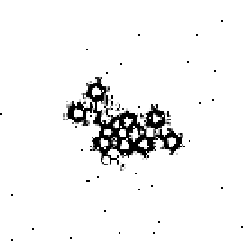 C=CC1=C(CCN(C2=CC=CCC2)c2ccccc2)c2ccc(C)cc2C12c1ccccc1-c1c(N3c4ccccc4N(c4ccccc4)c4ccccc43)cccc12